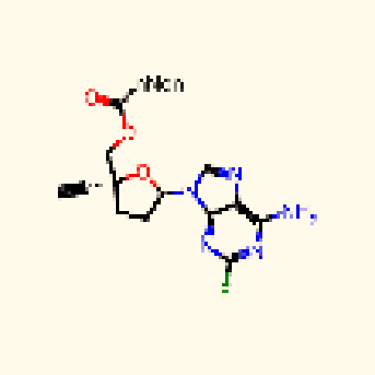 C#C[C@@]1(COC(=O)CCCCCCCCC)CC[C@H](n2cnc3c(N)nc(F)nc32)O1